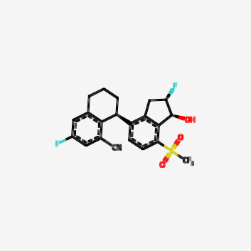 N#Cc1cc(F)cc2c1[C@H](c1ccc(S(=O)(=O)C(F)(F)F)c3c1C[C@@H](F)[C@H]3O)CCC2